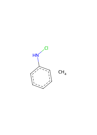 C.ClNc1ccccc1